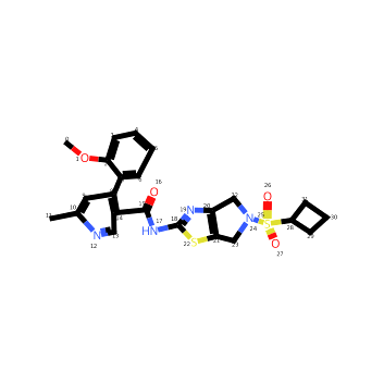 COc1ccccc1-c1cc(C)ncc1C(=O)Nc1nc2c(s1)CN(S(=O)(=O)C1CCC1)C2